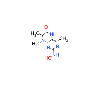 Cc1nc(NO)nc2c1NC(=O)[C@H](C)N2C